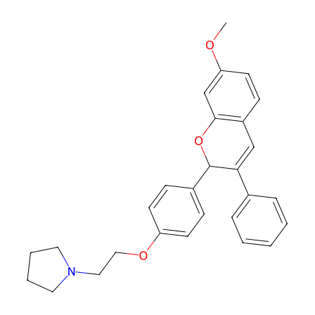 COc1ccc2c(c1)OC(c1ccc(OCCN3CCCC3)cc1)C(c1ccccc1)=C2